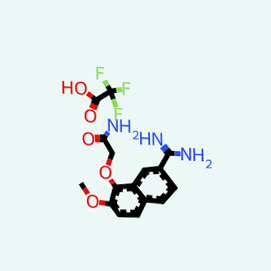 COc1ccc2ccc(C(=N)N)cc2c1OCC(N)=O.O=C(O)C(F)(F)F